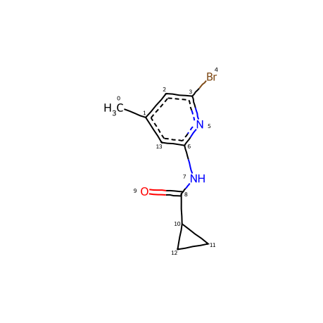 Cc1cc(Br)nc(NC(=O)C2CC2)c1